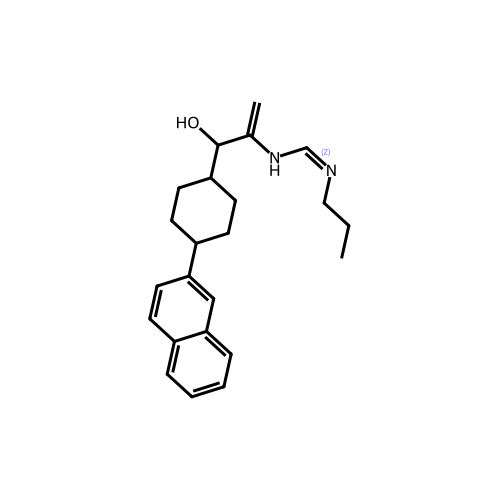 C=C(N/C=N\CCC)C(O)C1CCC(c2ccc3ccccc3c2)CC1